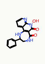 O=C1NCC(c2ccccc2)Nc2c1c(=O)n(O)c1ncccc21